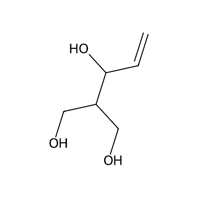 C=CC(O)C(CO)CO